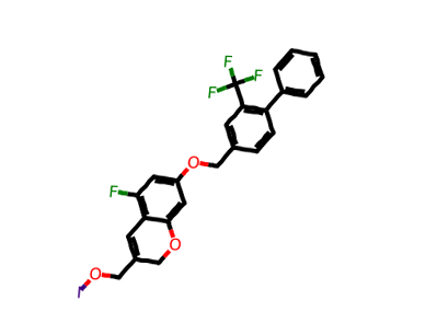 Fc1cc(OCc2ccc(-c3ccccc3)c(C(F)(F)F)c2)cc2c1C=C(COI)CO2